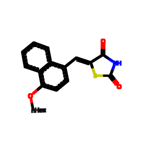 CCCCCCOc1ccc(/C=C2\SC(=O)NC2=O)c2ccccc12